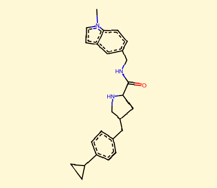 Cn1ccc2cc(CNC(=O)C3CC(Cc4ccc(C5CC5)cc4)CN3)ccc21